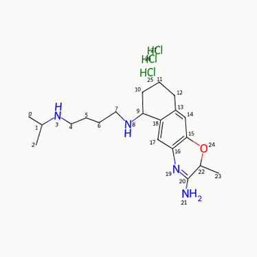 CC(C)NCCCCNC1CCCc2cc3c(cc21)N=C(N)C(C)O3.Cl.Cl.Cl